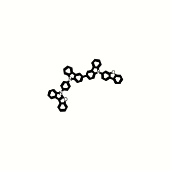 c1ccc2c(c1)oc1cc(-n3c4ccccc4c4cc(-c5ccc6c(c5)c5ccccc5n6-c5ccc(-n6c7ccccc7c7c8ccccc8oc76)cc5)ccc43)ccc12